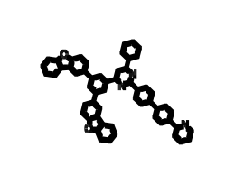 c1ccc(-c2cc(-c3cc(-c4ccc5oc6ccccc6c5c4)cc(-c4ccc5oc6ccccc6c5c4)c3)nc(-c3ccc(-c4ccc(-c5ccccn5)cc4)cc3)n2)cc1